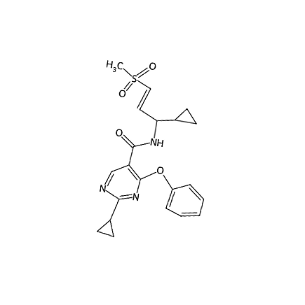 CS(=O)(=O)C=CC(NC(=O)c1cnc(C2CC2)nc1Oc1ccccc1)C1CC1